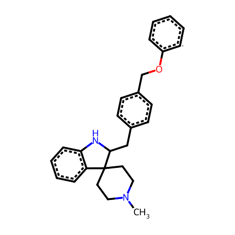 CN1CCC2(CC1)c1ccccc1NC2Cc1ccc(COc2[c]cccc2)cc1